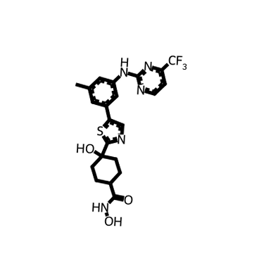 Cc1cc(Nc2nccc(C(F)(F)F)n2)cc(-c2cnc(C3(O)CCC(C(=O)NO)CC3)s2)c1